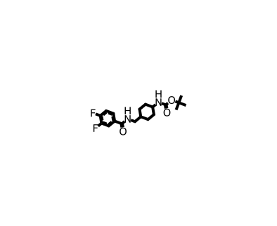 CC(C)(C)OC(=O)NC1CCC(CNC(=O)c2ccc(F)c(F)c2)CC1